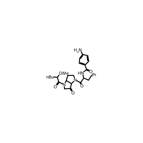 CCCCC(OC)C(=O)N1CC(=O)C2C1CCN2C(=O)C(CC(C)C)NC(=O)c1ccc(N)cc1